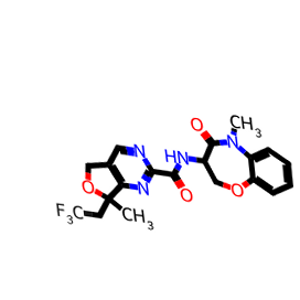 CN1C(=O)C(NC(=O)c2ncc3c(n2)C(C)(CC(F)(F)F)OC3)COc2ccccc21